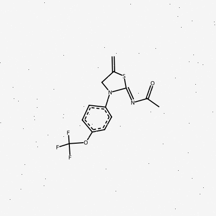 C=C1CN(c2ccc(OC(F)(F)F)cc2)/C(=N/C(C)=O)S1